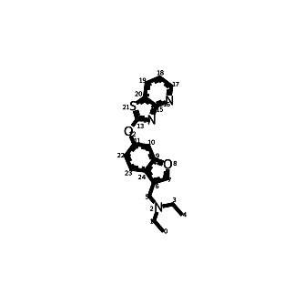 CCN(CC)Cc1coc2cc(Oc3nc4ncccc4s3)ccc12